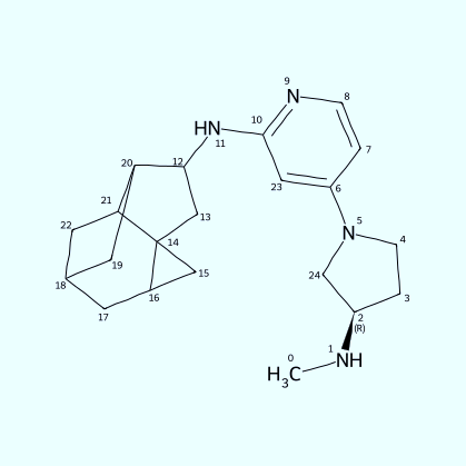 CN[C@@H]1CCN(c2ccnc(NC3CC45CC4CC4CC3C5C4)c2)C1